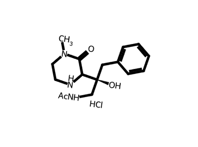 CC(=O)NC[C@@](O)(Cc1ccccc1)C1NCCN(C)C1=O.Cl